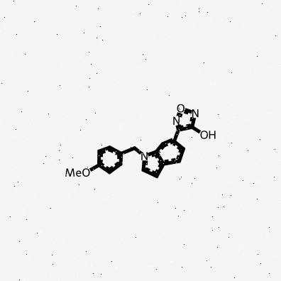 COc1ccc(Cn2ccc3ccc(-c4nonc4O)cc32)cc1